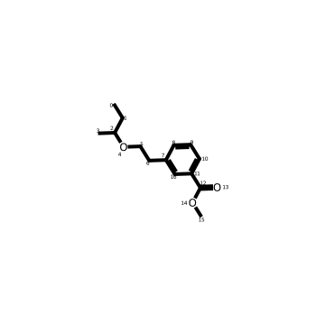 CCC(C)OCCc1cccc(C(=O)OC)c1